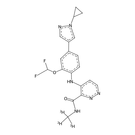 [2H]C([2H])([2H])NC(=O)c1nnccc1Nc1ccc(-c2cnn(C3CC3)c2)cc1OC(F)F